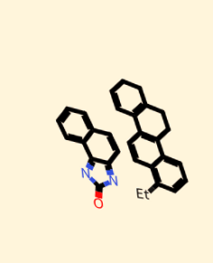 CCc1cccc2c3c(ccc12)C1=C(CCC=C1)CC3.O=C1N=c2ccc3ccccc3c2=N1